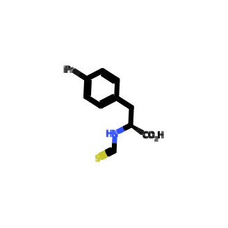 CC(C)c1ccc(C[C@H](NC=S)C(=O)O)cc1